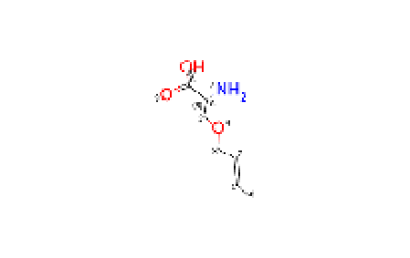 CC=CCOC[C@@H](N)C(=O)O